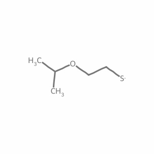 CC(C)OCC[S]